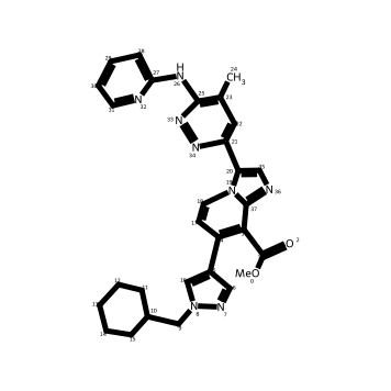 COC(=O)c1c(-c2cnn(CC3CCCCC3)c2)ccn2c(-c3cc(C)c(Nc4ccccn4)nn3)cnc12